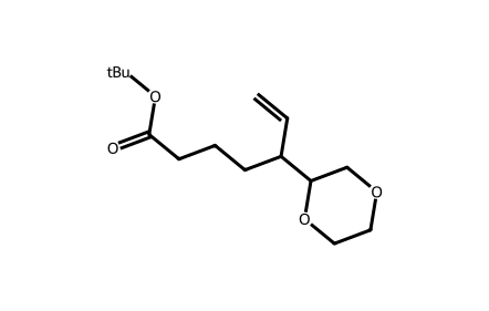 C=CC(CCCC(=O)OC(C)(C)C)C1COCCO1